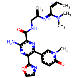 C=C(CNC(=O)c1nc(-c2ccc(=O)n(C)c2)c(-c2ncco2)nc1N)/N=C(\C=C/C)N(C)C